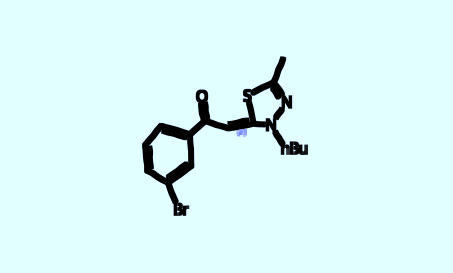 CCCCN1N=C(C)S/C1=C\C(=O)c1cccc(Br)c1